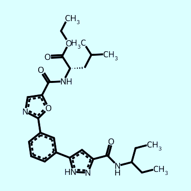 CCOC(=O)[C@H](CC(C)C)NC(=O)c1cnc(-c2cccc(-c3cc(C(=O)NC(CC)CC)n[nH]3)c2)o1